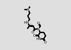 C/C(=C\C(=O)N(C=O)C1CCC(=O)NC1=O)NCCCN(C)C